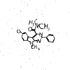 CN(C)C(=O)c1nc(-c2ccccc2)nc2c1c1cc(Cl)ccc1n2C